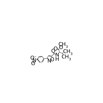 COC(=O)[C@@H](NC(=O)c1cc(-c2ccc([N+](=O)[O-])cc2)no1)C(C)C